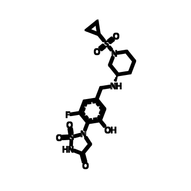 O=C1CN(c2c(O)cc(CN[C@H]3CCCN(S(=O)(=O)C4CC4)C3)cc2F)S(=O)(=O)N1